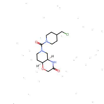 O=C1CO[C@H]2CCN(C(=O)N3CCC(CCl)CC3)C[C@H]2N1